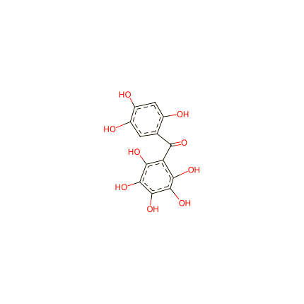 O=C(c1cc(O)c(O)cc1O)c1c(O)c(O)c(O)c(O)c1O